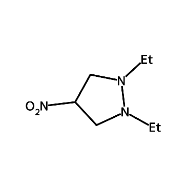 CCN1CC([N+](=O)[O-])CN1CC